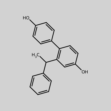 CC(c1ccccc1)c1cc(O)ccc1-c1ccc(O)cc1